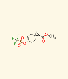 COC(=O)C1CC12CC=C(OS(=O)(=O)C(F)(F)F)CC2